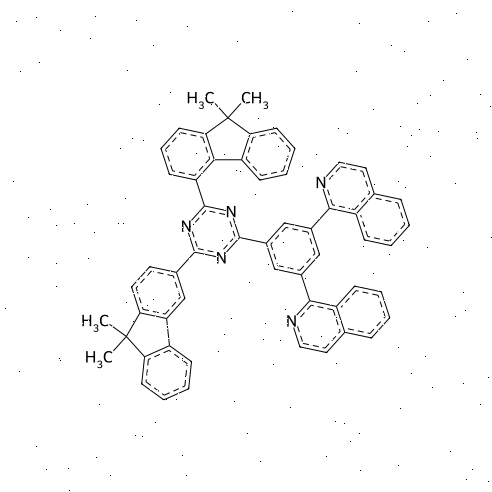 CC1(C)c2ccccc2-c2cc(-c3nc(-c4cc(-c5nccc6ccccc56)cc(-c5nccc6ccccc56)c4)nc(-c4cccc5c4-c4ccccc4C5(C)C)n3)ccc21